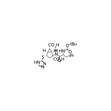 CC(C)CC(NC(=O)OC(C)(C)C)C(=O)N[C@@]1(C(=O)O)C[C@H](Sc2nnc[nH]2)[C@H]2[C@H](C(=O)O)[C@H]21